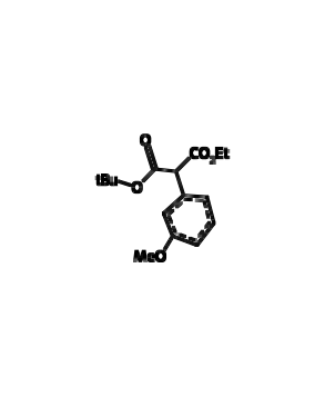 CCOC(=O)C(C(=O)OC(C)(C)C)c1cccc(OC)c1